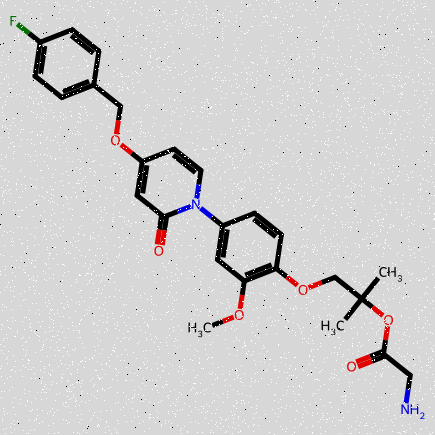 COc1cc(-n2ccc(OCc3ccc(F)cc3)cc2=O)ccc1OCC(C)(C)OC(=O)CN